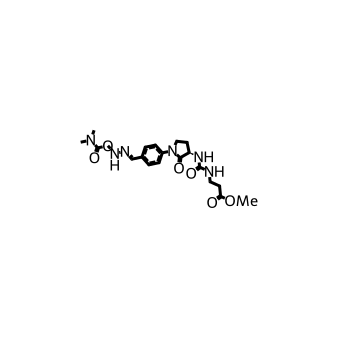 COC(=O)CCNC(=O)N[C@H]1CCN(c2ccc(C=NNOC(=O)N(C)C)cc2)C1=O